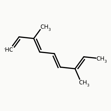 [CH]=CC(C)=CC=CC(C)=CC